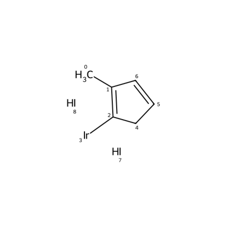 CC1=[C]([Ir])CC=C1.I.I